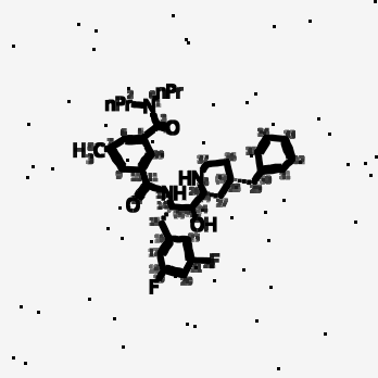 CCCN(CCC)C(=O)c1cc(C)cc(C(=O)N[C@@H](Cc2cc(F)cc(F)c2)[C@H](O)[C@H]2C[C@@H](Cc3ccccc3)CCN2)c1